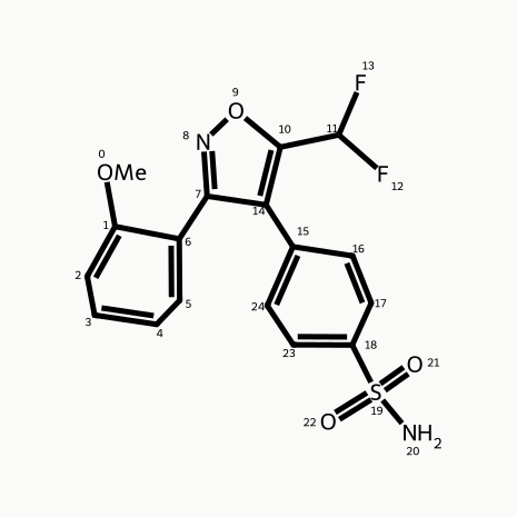 COc1ccccc1-c1noc(C(F)F)c1-c1ccc(S(N)(=O)=O)cc1